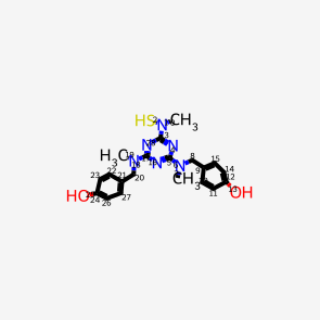 CN(S)c1nc(N(C)Cc2ccc(O)cc2)nc(N(C)Cc2ccc(O)cc2)n1